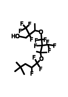 CC(OC(F)(F)C(F)(C(F)(F)F)C(C)(C)OC(F)(F)C(F)CC(C)(C)C)C(F)(CO)C(F)(F)F